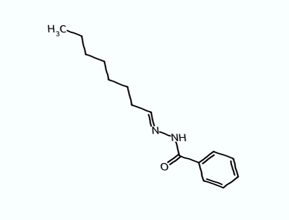 CCCCCCC/C=N/NC(=O)c1ccccc1